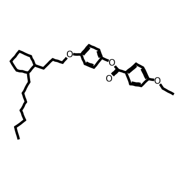 CCCCCCCC1CCCCC1CCCOc1ccc(OC(=O)c2ccc(OCC)cc2)cc1